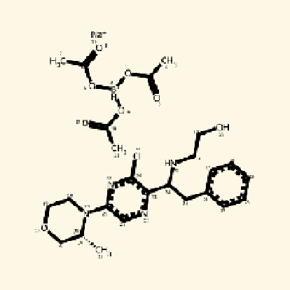 CC(=O)O[BH-](OC(C)=O)OC(C)=O.C[C@@H]1COCCN1c1cnc(C(Cc2ccccc2)NCCO)c(Cl)n1.[Na+]